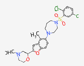 Cc1c(N2CCCN(S(=O)(=O)c3cc(Cl)ccc3Cl)CC2)ccc2oc(C3CN(C=O)CCO3)cc12